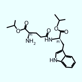 CC(C)OC(=O)[C@H](N)CCC(=O)N[C@H](Cc1c[nH]c2ccccc12)C(=O)OC(C)C